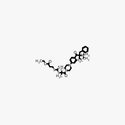 CCOC(=O)CCSC(=S)SC(C)(C)C(=O)N1CCN(c2ccc(C(=O)C(CC)(Cc3ccccc3)N(C)C)cc2)CC1